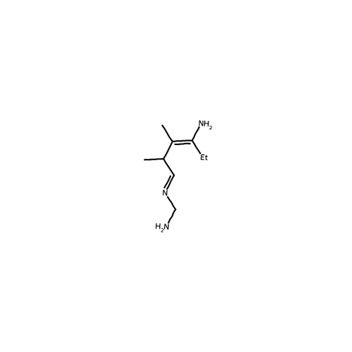 CC/C(N)=C(/C)C(C)/C=N/CN